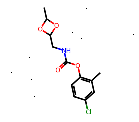 Cc1cc(Cl)ccc1OC(=O)NCC1OC(C)O1